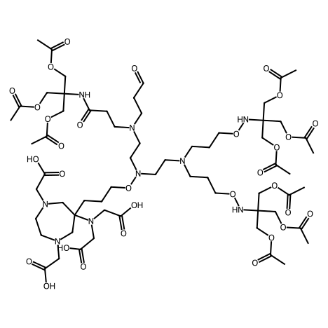 CC(=O)OCC(COC(C)=O)(COC(C)=O)NOCCCN(CCCONC(COC(C)=O)(COC(C)=O)COC(C)=O)CCN(CCN(CCC=O)CCC(=O)NC(COC(C)=O)(COC(C)=O)COC(C)=O)OCCCC1(N(CC(=O)O)CC(=O)O)CN(CC(=O)O)CCN(CC(=O)O)C1